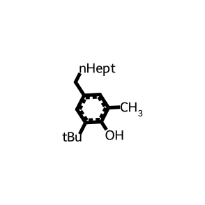 CCCCCCCCc1cc(C)c(O)c(C(C)(C)C)c1